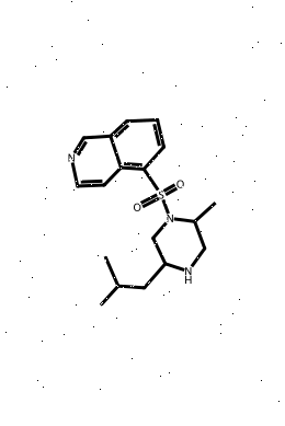 CC(C)CC1CN(S(=O)(=O)c2cccc3cnccc23)C(C)CN1